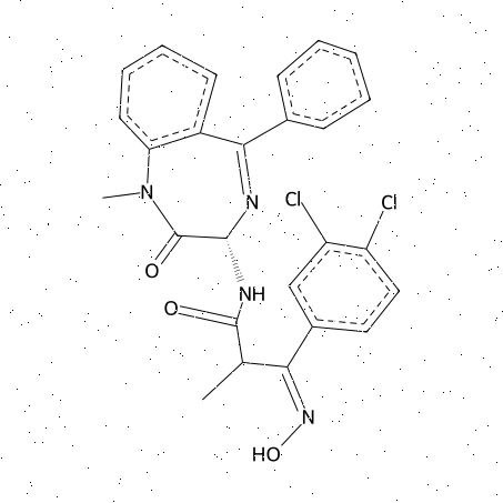 CC(C(=O)N[C@H]1N=C(c2ccccc2)c2ccccc2N(C)C1=O)/C(=N\O)c1ccc(Cl)c(Cl)c1